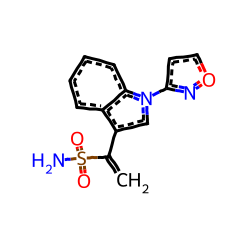 C=C(c1cn(-c2ccon2)c2ccccc12)S(N)(=O)=O